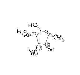 CN[C@@H]1C(O)O[C@@H](C)[C@@H](O)[C@H]1O